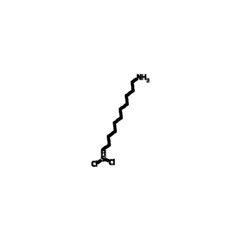 NCCCCCCCCCCC[SiH](Cl)Cl